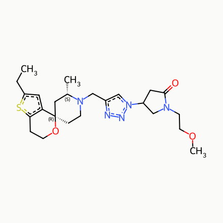 CCc1cc2c(s1)CCO[C@@]21CCN(Cc2cn(C3CC(=O)N(CCOC)C3)nn2)[C@@H](C)C1